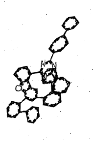 c1ccc(-c2ccc(-c3nc(-c4ccccc4)nc(-c4cccc5oc6c(-c7ccccc7-c7ccccc7)cc(-c7ccccc7-c7ccccc7)cc6c45)n3)cc2)cc1